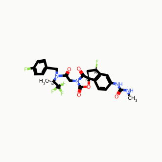 CNC(=O)Nc1ccc2c(c1)[C@H](F)C[C@]21OC(=O)N(CC(=O)N(Cc2ccc(F)cc2)[C@@H](C)C(F)(F)F)C1=O